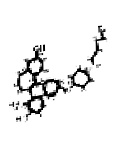 Cc1c(O)cccc1C1=C(c2ccc(O[C@H]3CC[C@H](CCCCCF)CC3)cc2)c2ccc(O)cc2CCC1